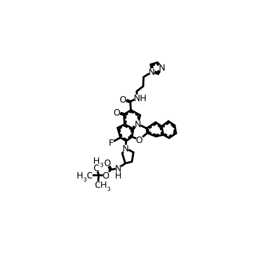 CC(C)(C)OC(=O)NC1CCN(c2c(F)cc3c(=O)c(C(=O)NCCCn4ccnc4)cn4c3c2Oc2cc3ccccc3cc2-4)C1